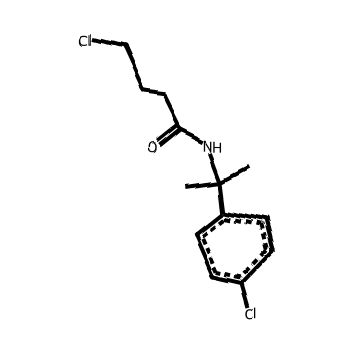 CC(C)(NC(=O)CCCCl)c1ccc(Cl)cc1